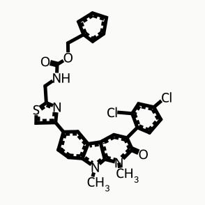 Cn1c(=O)c(-c2ccc(Cl)cc2Cl)cc2c3cc(-c4csc(CNC(=O)OCc5ccccc5)n4)ccc3n(C)c21